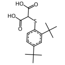 CC(C)(C)c1ccc(SC(C(=O)O)C(=O)O)c(C(C)(C)C)c1